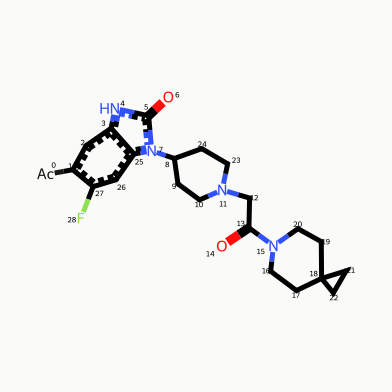 CC(=O)c1cc2[nH]c(=O)n(C3CCN(CC(=O)N4CCC5(CC4)CC5)CC3)c2cc1F